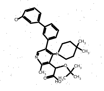 Cc1ncc(-c2cccc(-c3cccc(Cl)c3)c2)c(N2CCC(C)(C)CC2)c1C(OC(C)(C)C)C(=O)O